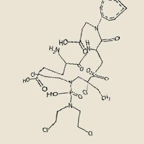 CC[C@@](Cl)(CN(CCCl)P(=O)(O)N(CCCl)CCCl)S(=O)(=O)CC(NC(=O)C(N)CCC(=O)O)C(=O)N(CC(=O)O)c1ccccc1